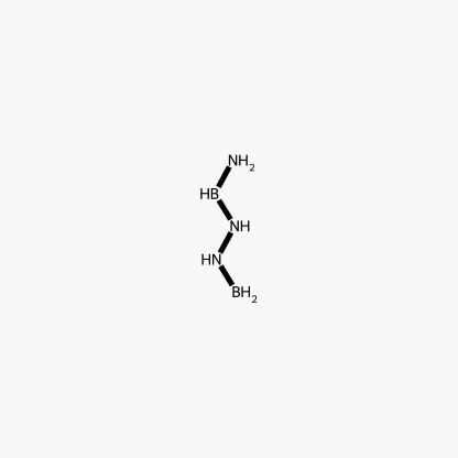 BNNBN